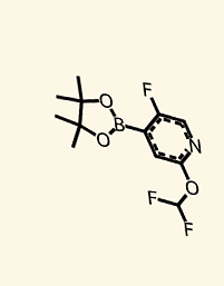 CC1(C)OB(c2cc(OC(F)F)ncc2F)OC1(C)C